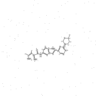 C/C(N)=C(\C)C(=N)C(=O)Nc1cnc2[nH]c(-c3ccnc(N4CCC(C)CC4)c3)cc2c1